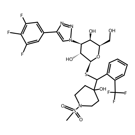 CS(=O)(=O)N1CCC(O)(C(S[C@@H]2O[C@H](CO)[C@H](O)[C@H](n3cc(-c4cc(F)c(F)c(F)c4)nn3)[C@H]2O)c2ccccc2C(F)(F)F)CC1